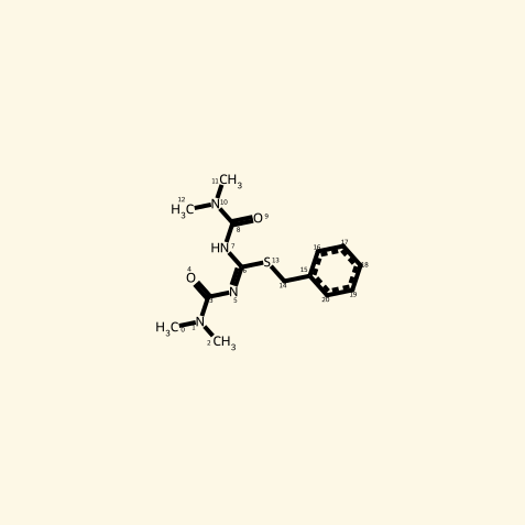 CN(C)C(=O)N=C(NC(=O)N(C)C)SCc1ccccc1